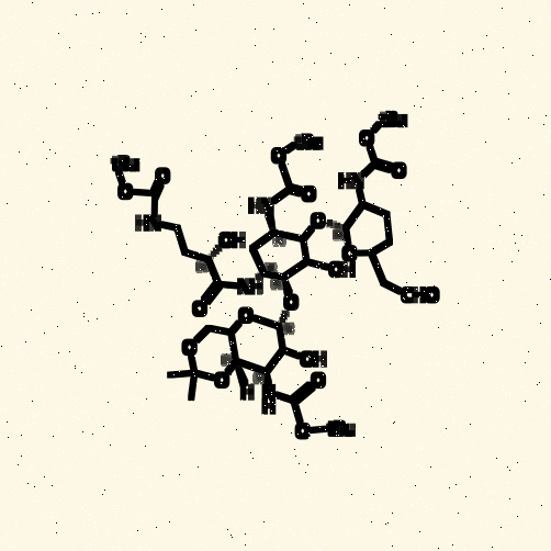 CC(C)(C)OC(=O)NCC[C@H](O)C(=O)N[C@@H]1C[C@@H](NC(=O)OC(C)(C)C)C(O[C@H]2OC(CC=O)CCC2NC(=O)OC(C)(C)C)C(O)[C@H]1O[C@H]1OC2COC(C)(C)O[C@H]2[C@H](NC(=O)OC(C)(C)C)C1O